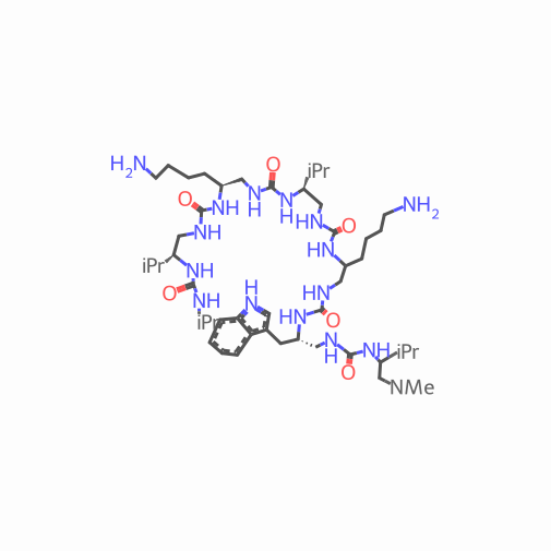 CNCC(NC(=O)NC[C@H](Cc1c[nH]c2ccccc12)NC(=O)NCC(CCCCN)NC(=O)NC[C@@H](NC(=O)NC[C@H](CCCCN)NC(=O)NC[C@@H](NC(=O)NC(C)C)C(C)C)C(C)C)C(C)C